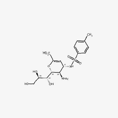 CC(=O)N[C@H]1[C@H]([C@H](O)[C@H](O)CO)OC(C(=O)O)=C[C@@H]1NS(=O)(=O)c1ccc(C)cc1